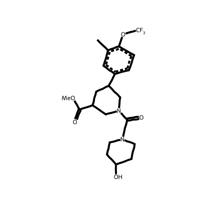 COC(=O)C1CC(c2ccc(OC(F)(F)F)c(C)c2)CN(C(=O)N2CCC(O)CC2)C1